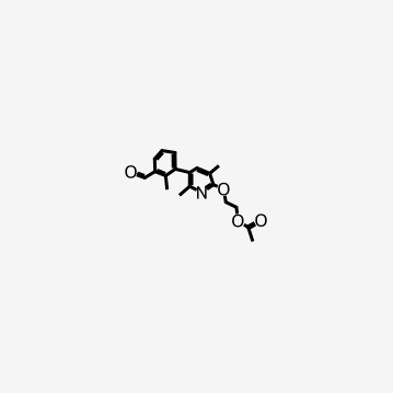 CC(=O)OCCOc1nc(C)c(-c2cccc(C=O)c2C)cc1C